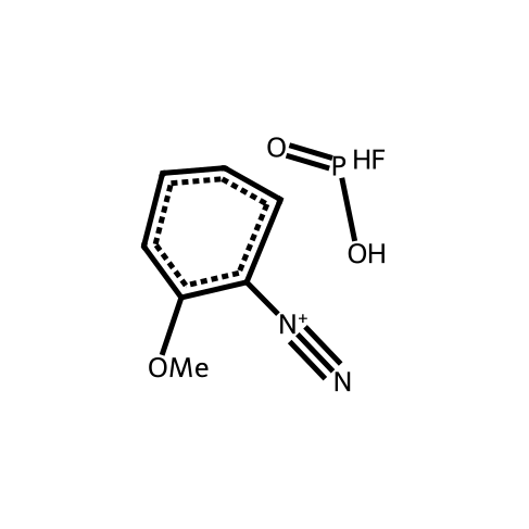 COc1ccccc1[N+]#N.F.O=PO